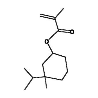 C=C(C)C(=O)OC1CCCC(C)(C(C)C)C1